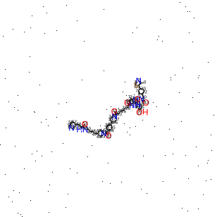 Cc1ncsc1-c1ccc(CNC(=O)[C@@H]2C[C@@H](O)CN2C(=O)[C@@H](NC(=O)CCCCCC(=O)N2CCC(c3ccc(C(=O)N4CCC(CCCCNC(=O)/C=C/c5cccnc5)CC4)cc3)CC2)C(C)(C)C)cc1